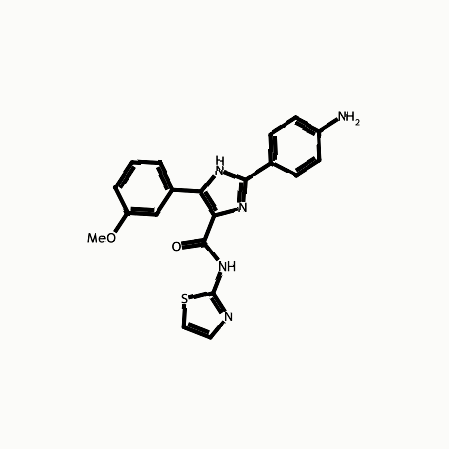 COc1cccc(-c2[nH]c(-c3ccc(N)cc3)nc2C(=O)Nc2nccs2)c1